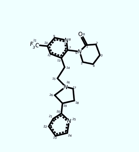 O=C1CCCCN1c1ncc(C(F)(F)F)cc1CCN1CCC(c2ccccn2)C1